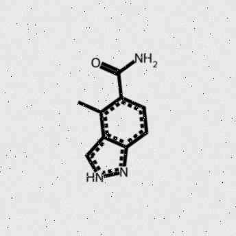 Cc1c(C(N)=O)ccc2n[nH]cc12